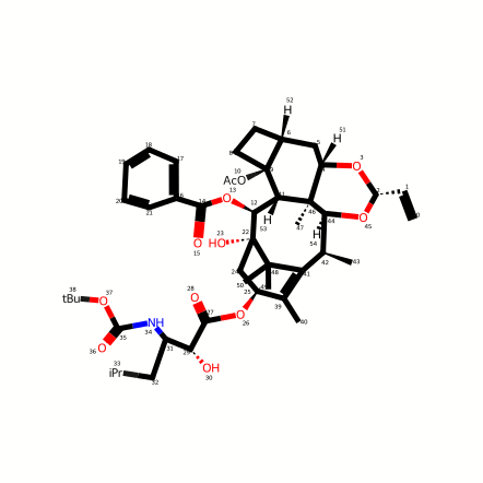 C=C[C@H]1O[C@H]2C[C@H]3CC[C@@]3(OC(C)=O)[C@H]3[C@H](OC(=O)c4ccccc4)[C@]4(O)C[C@H](OC(=O)[C@H](O)C(CC(C)C)NC(=O)OC(C)(C)C)C(C)=C([C@H](C)[C@H](O1)[C@]23C)C4(C)C